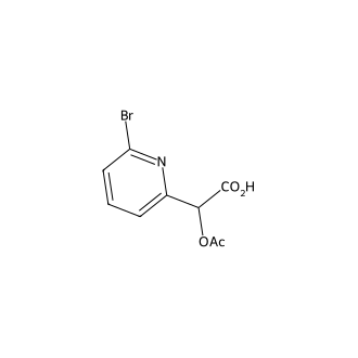 CC(=O)OC(C(=O)O)c1cccc(Br)n1